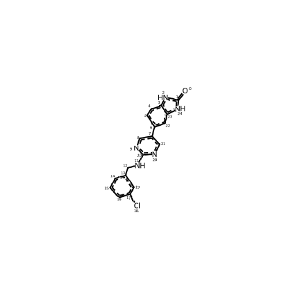 O=c1[nH]c2ccc(-c3cnc(NCc4cccc(Cl)c4)nc3)cc2[nH]1